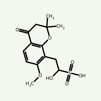 COc1ccc2c(c1CC(O)S(=O)(=O)O)OC(C)(C)CC2=O